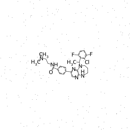 CC(c1c(F)ccc(F)c1Cl)N1CCCNc2ncc(-c3ccc(C(=O)NCCN(C)C)cc3)nc21